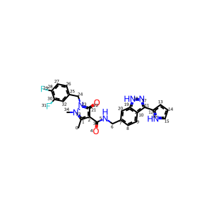 Cc1c(C(=O)NCc2ccc3c(-c4ccc[nH]4)n[nH]c3c2)c(=O)n(Cc2ccc(F)c(F)c2)n1C